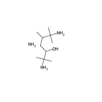 CC(CC(O)C(C)(C)N)C(C)(C)N.N